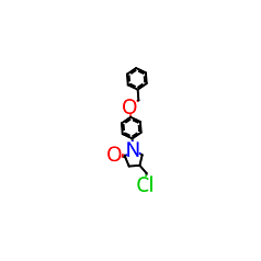 O=C1CC(CCl)CN1c1ccc(OCc2ccccc2)cc1